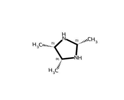 C[C@H]1N[C@@H](C)[C@@H](C)N1